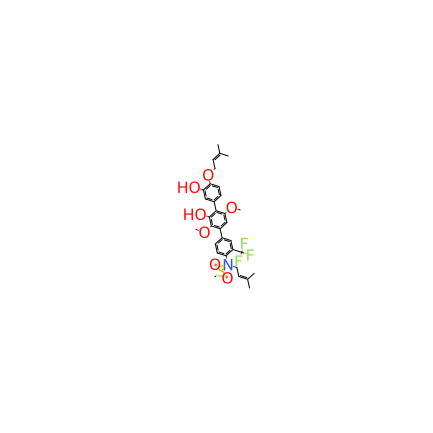 COc1cc(-c2ccc(N(CC=C(C)C)S(C)(=O)=O)c(C(F)(F)F)c2)c(OC)c(O)c1-c1ccc(OCC=C(C)C)c(O)c1